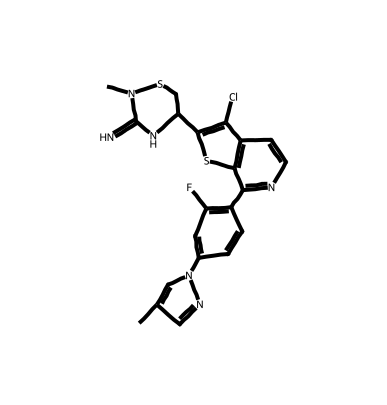 Cc1cnn(-c2ccc(-c3nccc4c(Cl)c(C5CSN(C)C(=N)N5)sc34)c(F)c2)c1